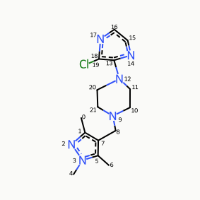 Cc1nn(C)c(C)c1CN1CCN(c2nccnc2Cl)CC1